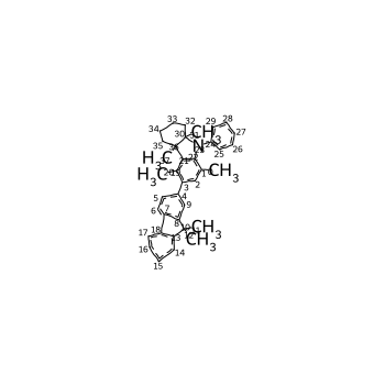 Cc1cc(-c2ccc3c(c2)C(C)(C)c2ccccc2-3)c(C)c2c1N(c1ccccc1)C1(C)CCCCC21C